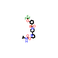 O=C(NC1CC1)Oc1cccc(C2=CCN(S(=O)(=O)c3cccc(OC(F)(F)F)c3)CC2)n1